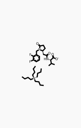 CC(C)[C@H](NC(=O)C[C@@H]1CCC(=O)N1Cc1cccc(F)c1F)C(=O)[O-].CCCC[N+](CCCC)(CCCC)CCCC